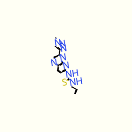 C=CCNC(=S)Nc1ccc2ncc(-c3cn(C)nn3)nc2n1